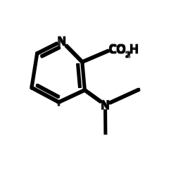 CN(C)c1[c]ccnc1C(=O)O